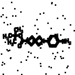 CC(C)(C)OC(=O)N1CC2(C1)CN(c1ccc(N)nc1)C2